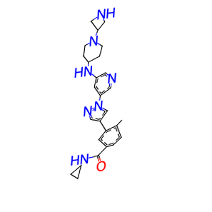 Cc1ccc(C(=O)NC2CC2)cc1-c1cnn(-c2cncc(NC3CCN(C4CNC4)CC3)c2)c1